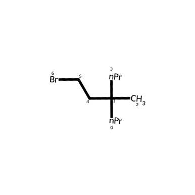 CCCC(C)(CCC)CCBr